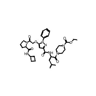 CCOC(=O)N1CCN(C(=O)C(CC(C)C)NC(=O)c2cc(OCC(=O)N3CCCC3C(=O)NC3CCC3)n(-c3ccccc3)n2)CC1